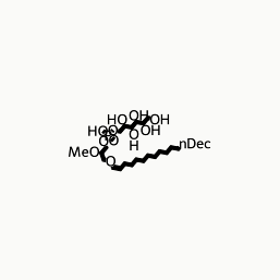 CCCCCCCCCCCCCCCCCCCC/C=C\OC[C@@H](COP(=O)(O)OC[C@@H](O)[C@@H](O)[C@H](O)[C@H](O)CO)OC